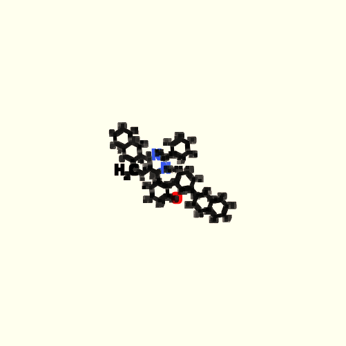 C=Cc1c(-c2ccc3ccccc3c2)nc(-c2ccccc2)nc1-c1cccc2oc3c(-c4ccc5ccccc5c4)cccc3c12